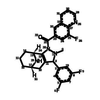 CN1C(c2cc(F)cc(F)c2)C2=C([C@@H]3CCC[C@H](C2)N3)N1C(=O)c1cc(F)c2ncccc2c1